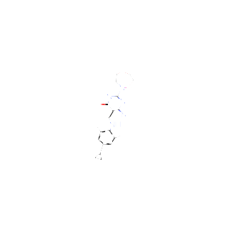 Cc1cc(C2CC2)cc(C)c1N/C=C1\C(=N)N=C(N2CCOCCO2)NC1=O